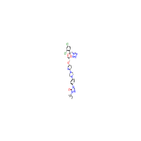 CC[C@@H](C)n1ncn(-c2ccc(N3CCN(c4ccc(OC[C@@H]5CO[C@@](Cn6cnnn6)(c6ccc(Cl)cc6Cl)O5)cn4)CC3)cc2)c1=O